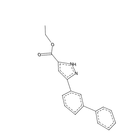 CCOC(=O)c1cc(-c2cccc(-c3ccccc3)c2)n[nH]1